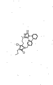 CCCCc1c(Cl)n(CCC)c(=O)n1Cc1ccc(-c2ccccc2-c2nnn[nH]2)nc1